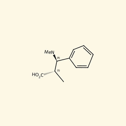 CN[C@@H](c1ccccc1)[C@H](C)C(=O)O